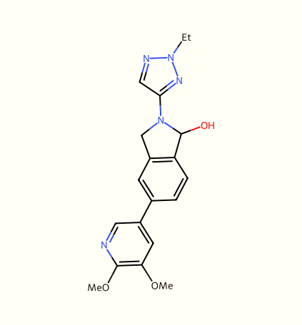 CCn1ncc(N2Cc3cc(-c4cnc(OC)c(OC)c4)ccc3C2O)n1